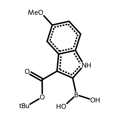 COc1ccc2[nH]c(B(O)O)c(C(=O)OC(C)(C)C)c2c1